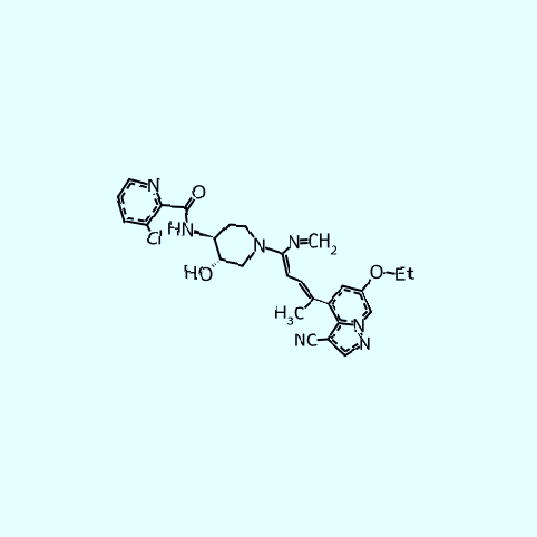 C=N/C(=C\C=C(/C)c1cc(OCC)cn2ncc(C#N)c12)N1CC[C@H](NC(=O)c2ncccc2Cl)[C@@H](O)C1